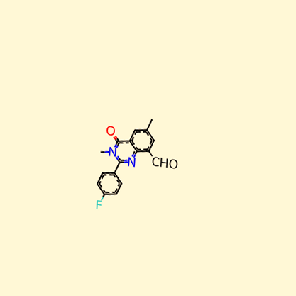 Cc1cc(C=O)c2nc(-c3ccc(F)cc3)n(C)c(=O)c2c1